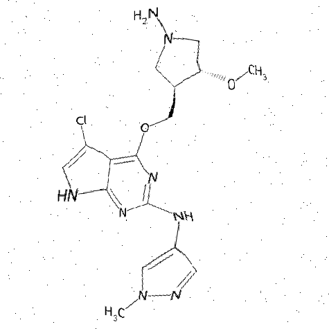 CO[C@H]1CN(N)C[C@@H]1COc1nc(Nc2cnn(C)c2)nc2[nH]cc(Cl)c12